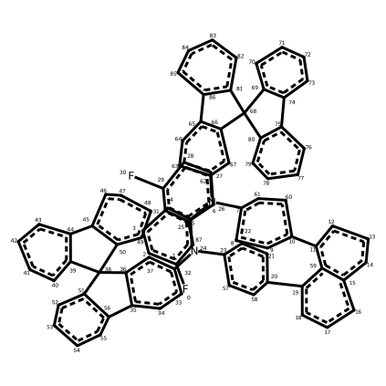 Fc1cccc(N(c2ccc(-c3cccc4cccc(-c5ccc(N(c6cccc(F)c6)c6ccc7c(c6)C6(c8ccccc8-c8ccccc86)c6ccccc6-7)cc5)c34)cc2)c2ccc3c(c2)C2(c4ccccc4-c4ccccc42)c2ccccc2-3)c1